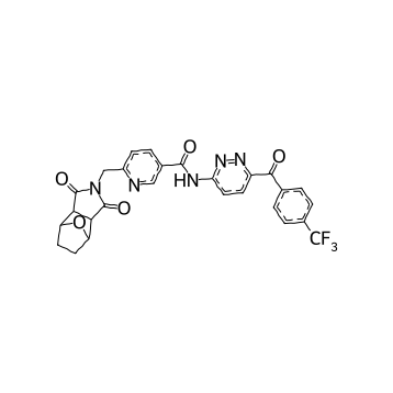 O=C(Nc1ccc(C(=O)c2ccc(C(F)(F)F)cc2)nn1)c1ccc(CN2C(=O)C3C4CCC(O4)C3C2=O)nc1